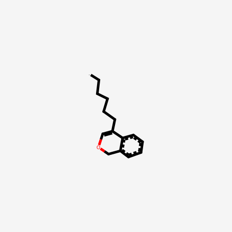 [CH2]CCCCCC1=COCc2ccccc21